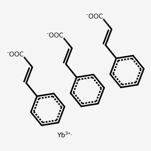 O=C([O-])C=Cc1ccccc1.O=C([O-])C=Cc1ccccc1.O=C([O-])C=Cc1ccccc1.[Yb+3]